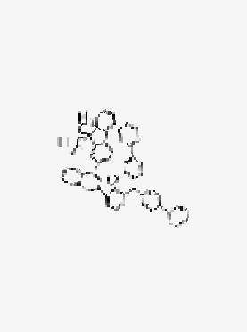 CC1(C)c2ccccc2-c2ccc(-c3c4ccccc4cc4c3oc3c(C(c5ccc(-c6ccccc6)cc5)c5ccc(-c6ccccc6)cc5)cccc34)cc21